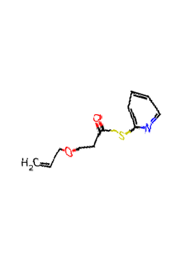 C=CCOCCC(=O)Sc1ccccn1